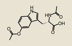 CC(=O)N[C@@H](Cc1c[nH]c2ccc(OC(C)=O)cc12)C(=O)O